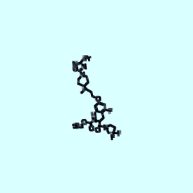 CC(C)c1noc(N2CCC([C@H](C)CCOc3ccc(CC(NC(=O)OC(C)(C)C)C(=O)N4CCC(F)(F)C4)c(F)c3)CC2)n1